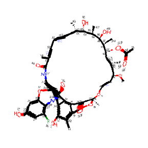 CO[C@H]1/C=C/O[C@@]2(C)Oc3c(C)c(O)c4c(=O)c(c5oc6cc(O)cc(F)c6nc-5c4c3C2=O)NC(=O)/C(C)=C\C=C\[C@H](C)[C@H](O)[C@@H](C)[C@@H](O)[C@@H](C)[C@H](OC(C)=O)[C@@H]1C